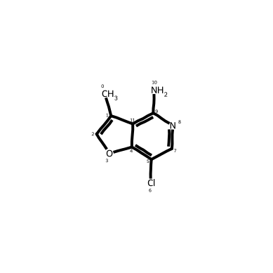 Cc1coc2c(Cl)cnc(N)c12